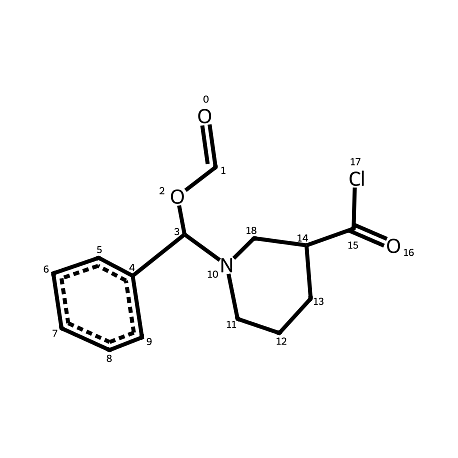 O=COC(c1ccccc1)N1CCCC(C(=O)Cl)C1